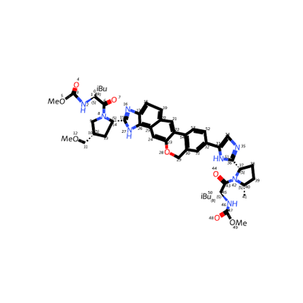 CC[C@@H](C)[C@H](NC(=O)OC)C(=O)N1C[C@@H](COC)C[C@H]1c1nc2ccc3cc4c(cc3c2[nH]1)OCc1cc(-c2cnc([C@@H]3CC[C@H](C)N3C(=O)[C@@H](NC(=O)OC)[C@H](C)CC)[nH]2)ccc1-4